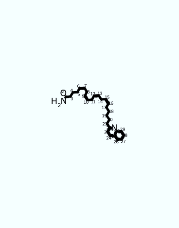 NC(=O)CCC/C=C\C/C=C\C/C=C\C/C=C\CCCCCc1ccc2ccccc2n1